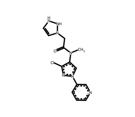 CN(C(=O)CN1C=CNN1)c1cn(-c2cccnc2)nc1Cl